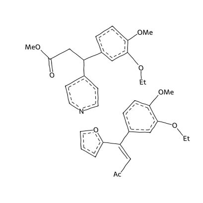 CCOc1cc(/C(=C/C(C)=O)c2ccco2)ccc1OC.CCOc1cc(C(CC(=O)OC)c2ccncc2)ccc1OC